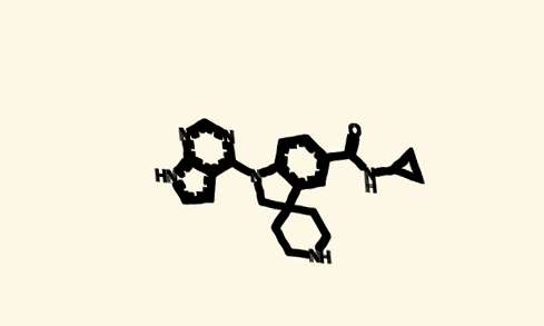 O=C(NC1CC1)c1ccc2c(c1)C1(CCNCC1)CN2c1ncnc2[nH]ccc12